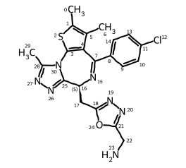 Cc1sc2c(c1C)C(c1ccc(Cl)cc1)=N[C@@H](Cc1nnc(CN)o1)c1nnc(C)n1-2